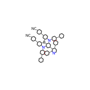 N#Cc1ccc(-c2ccc3c(c2)B2c4cc(-c5ccc(C#N)cc5)ccc4N(c4ccc(-c5ccccc5)cc4)c4cc(-c5c(-c6ccccc6)ccnc5-c5ccccc5)cc(c42)N3c2ccc(-c3ccccc3)cc2)cc1